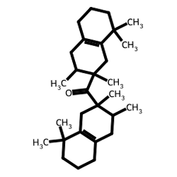 CC1CC2=C(CC1(C)C(=O)C1(C)CC3=C(CCCC3(C)C)CC1C)C(C)(C)CCC2